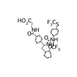 O=C(O)CCNC(=O)c1ccc(C(Cc2ccccc2OC(F)(F)F)NC(=O)Nc2ccc(SC(F)(F)F)cc2)cc1